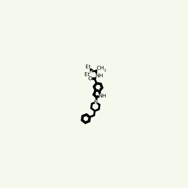 CCN(CC)C(C)NC(=O)c1ccc2[nH]c(N3CCC(Cc4ccccc4)CC3)cc2c1